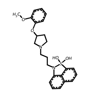 COc1ccccc1OC1CCN(CCCN2c3cccc4cccc(c34)S2(O)O)C1